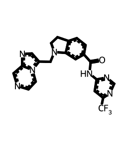 O=C(Nc1cc(C(F)(F)F)ncn1)c1ccc2c(c1)N(Cc1cnc3cnccn13)CC2